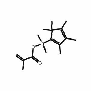 C=C(C)C(=O)[O][Ti]([CH3])([CH3])[C]1=C(C)C(C)=C(C)C1(C)C